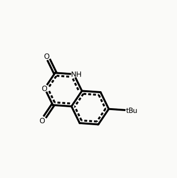 CC(C)(C)c1ccc2c(=O)oc(=O)[nH]c2c1